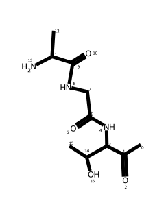 CC(=O)C(NC(=O)CNC(=O)C(C)N)C(C)O